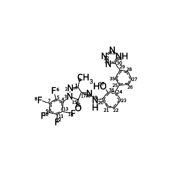 CC1=NN(c2c(F)c(F)c(F)c(F)c2F)C(=O)/C1=N\Nc1cccc(-c2cccc(-c3nnn[nH]3)c2)c1O